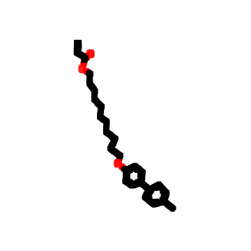 C=CC(=O)OCCCCCCCCCCCOc1ccc(-c2ccc(C)cc2)cc1